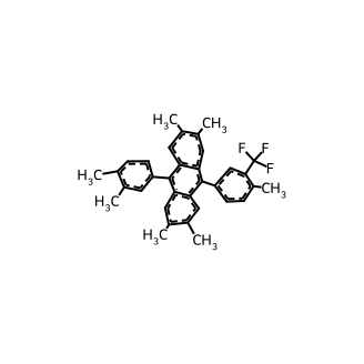 Cc1ccc(-c2c3cc(C)c(C)cc3c(-c3ccc(C)c(C(F)(F)F)c3)c3cc(C)c(C)cc23)cc1C